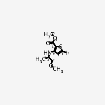 COCC(C)Nc1cc(I)sc1C(=O)OC